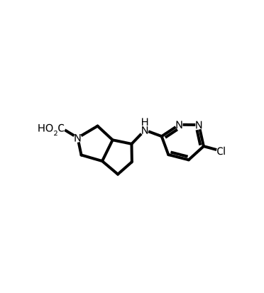 O=C(O)N1CC2CCC(Nc3ccc(Cl)nn3)C2C1